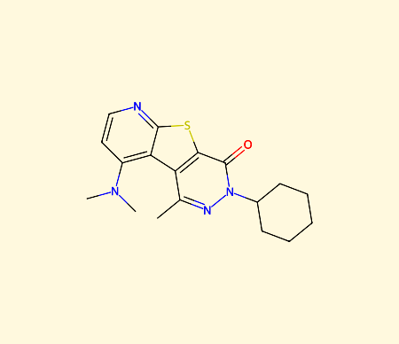 Cc1nn(C2CCCCC2)c(=O)c2sc3nccc(N(C)C)c3c12